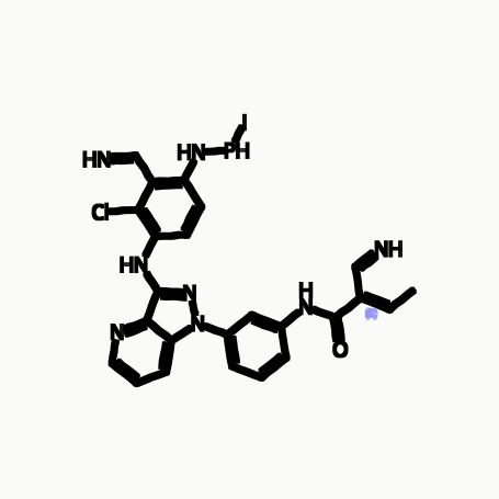 C/C=C(\C=N)C(=O)Nc1cccc(-n2nc(Nc3ccc(NPI)c(C=N)c3Cl)c3ncccc32)c1